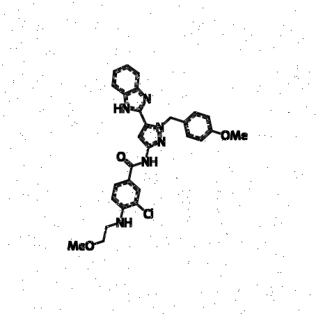 COCCNc1ccc(C(=O)Nc2cc(-c3nc4ccccc4[nH]3)n(Cc3ccc(OC)cc3)n2)cc1Cl